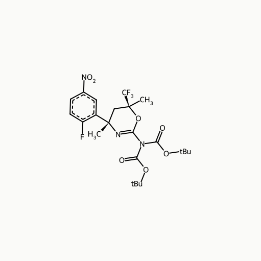 CC(C)(C)OC(=O)N(C(=O)OC(C)(C)C)C1=N[C@](C)(c2cc([N+](=O)[O-])ccc2F)C[C@@](C)(C(F)(F)F)O1